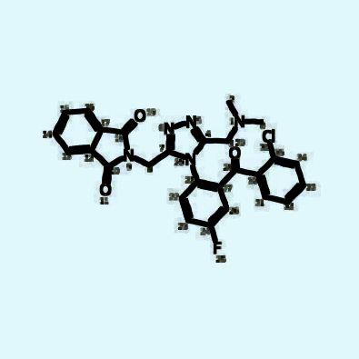 CN(C)Cc1nnc(CN2C(=O)c3ccccc3C2=O)n1-c1ccc(F)cc1C(=O)c1ccccc1Cl